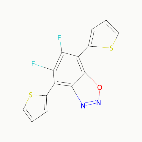 Fc1c(F)c(-c2cccs2)c2onnc2c1-c1cccs1